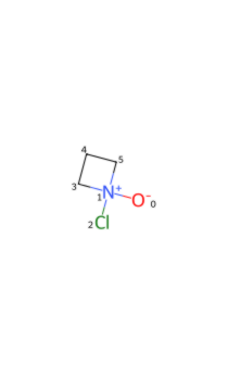 [O-][N+]1(Cl)CCC1